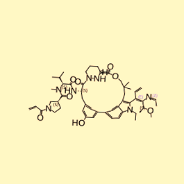 C=CC(=O)N1CC[C@H](C(=O)N(C)[C@H](C(=O)N[C@H]2Cc3cc(O)cc(c3)-c3ccc4c(c3)c(c(/C(C=C)=C(/N=C\C)[C@H](C)OC)n4CC)CC(C)(C)COC(=O)[C@@H]3CCCN(N3)C2=O)C(C)C)C1